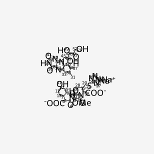 CO[C@@]1(NC(=O)C(C(=O)[O-])c2ccc(O)cc2)C(=O)N2C(C(=O)[O-])=C(CSc3nnnn3C)CO[C@@H]21.Cc1cc2nc3c(=O)[nH]c(=O)nc-3n(C[C@H](O)[C@H](O)[C@H](O)CO)c2cc1C.[Na+].[Na+]